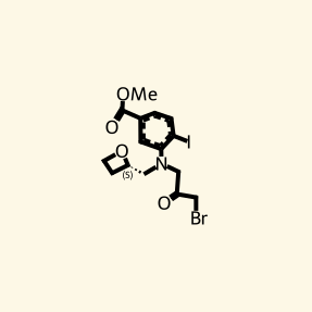 COC(=O)c1ccc(I)c(N(CC(=O)CBr)C[C@@H]2CCO2)c1